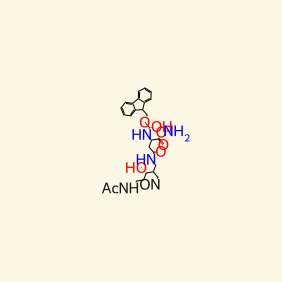 CC(=O)NCC[C@H](O)C(CN=O)CNC(=O)CC(N[C@@H](O)OCC1c2ccccc2-c2ccccc21)C(=O)ON